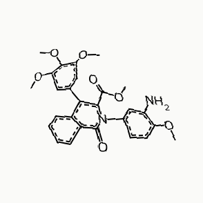 COC(=O)c1c(-c2cc(OC)c(OC)c(OC)c2)c2ccccc2c(=O)n1-c1ccc(OC)c(N)c1